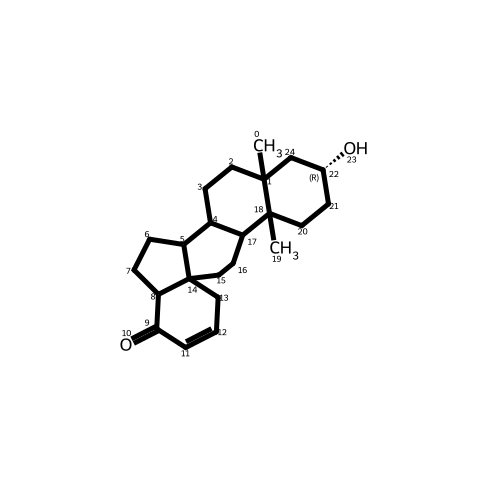 CC12CCC3C4CCC5C(=O)C=CCC54CCC3C1(C)CC[C@@H](O)C2